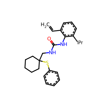 C=Cc1cccc(C(C)C)c1NC(=O)NCC1(Sc2ccccc2)CCCCC1